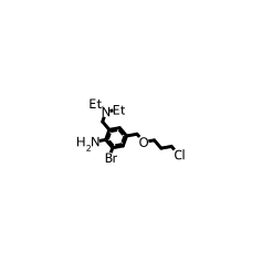 CCN(CC)Cc1cc(COCCCCl)cc(Br)c1N